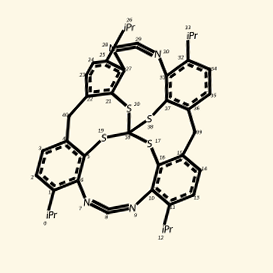 CC(C)c1ccc2c3c1N=C=Nc1c(C(C)C)ccc4c1SC1(S3)Sc3c(ccc(C(C)C)c3N=C=Nc3c(C(C)C)ccc(c3S1)C4)C2